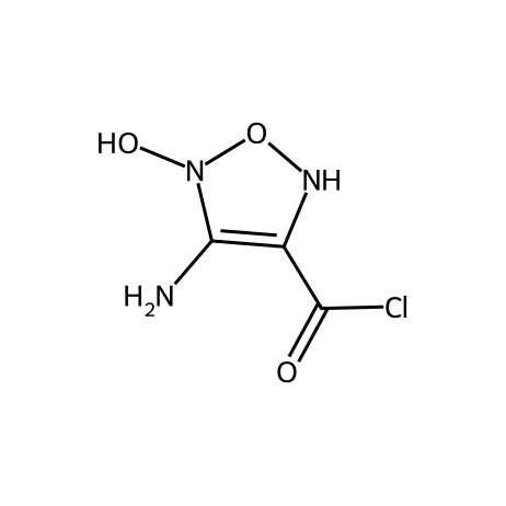 NC1=C(C(=O)Cl)NON1O